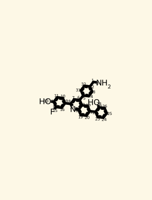 NCc1ccc(-c2cc(-c3ccc(O)c(F)c3)nc3ccc(-c4ccccc4O)cc23)cc1